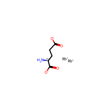 N[C@@H](CCC(=O)[O-])C(=O)[O-].[Rb+].[Rb+]